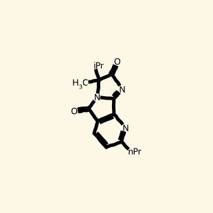 CCCc1ccc2c(n1)C1=NC(=O)C(C)(C(C)C)N1C2=O